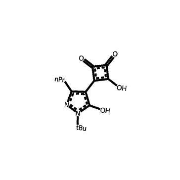 CCCc1nn(C(C)(C)C)c(O)c1-c1c(O)c(=O)c1=O